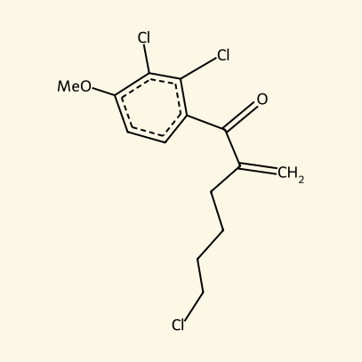 C=C(CCCCCl)C(=O)c1ccc(OC)c(Cl)c1Cl